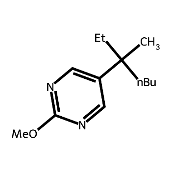 CCCCC(C)(CC)c1cnc(OC)nc1